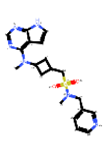 CN(c1ncnc2[nH]ccc12)C1CC(CS(=O)(=O)N(C)Cc2cccnc2)C1